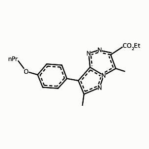 CCCOc1ccc(-c2c(C)nn3c(C)c(C(=O)OCC)nnc23)cc1